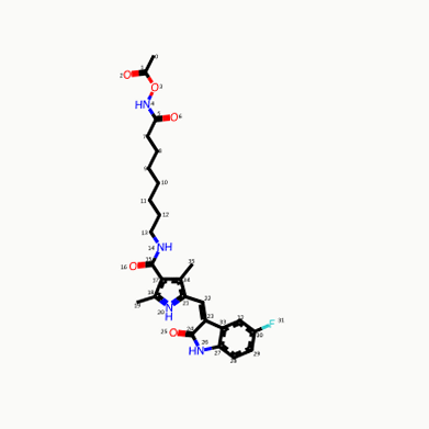 CC(=O)ONC(=O)CCCCCCCNC(=O)c1c(C)[nH]c(/C=C2\C(=O)Nc3ccc(F)cc32)c1C